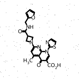 Cc1cc(N2CC(C(=O)NCc3ccco3)C2)nc2c1c(=O)c(C(=O)O)cn2-c1nccs1